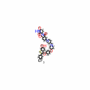 O=C1CCC(N2C(=O)c3ccc(N4CCC(CN5CCC(Oc6ccc(Oc7c(-c8ccc(C(F)(F)F)cc8)sc8cc(O)ccc78)cc6)CC5)CC4)cc3C2=O)C(=O)N1